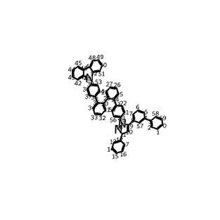 c1ccc(-c2cccc(-c3cc(-c4ccccc4)nn3-c3ccc(-c4ccccc4-c4ccccc4-c4ccc(-n5c6ccccc6c6ccccc65)cc4)cc3)c2)cc1